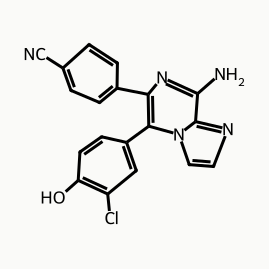 N#Cc1ccc(-c2nc(N)c3nccn3c2-c2ccc(O)c(Cl)c2)cc1